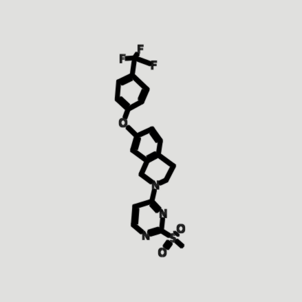 CS(=O)(=O)c1nccc(N2CCc3ccc(Oc4ccc(C(F)(F)F)cc4)cc3C2)n1